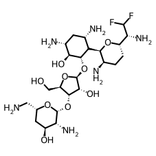 NC[C@H]1C[C@H](O)[C@@H](N)[C@@H](O[C@H]2[C@@H](O)[C@H](O[C@H]3C([C@H]4O[C@H]([C@@H](N)C(F)F)CC[C@H]4N)[C@@H](N)C[C@@H](N)[C@@H]3O)O[C@@H]2CO)O1